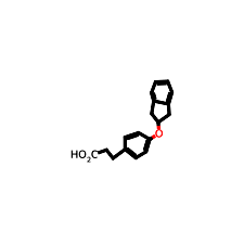 O=C(O)CCc1ccc(OC2Cc3ccccc3C2)cc1